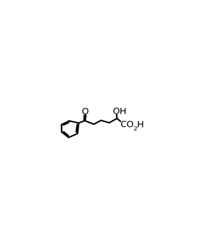 O=C(CCCC(O)C(=O)O)c1ccccc1